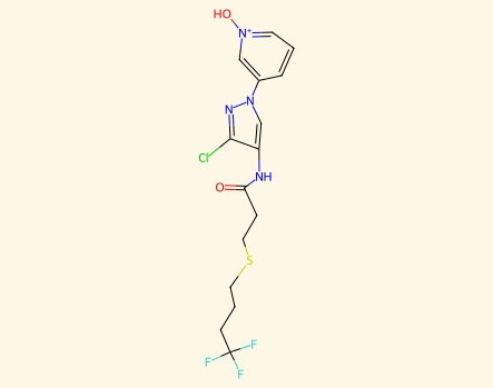 O=C(CCSCCCC(F)(F)F)Nc1cn(-c2ccc[n+](O)c2)nc1Cl